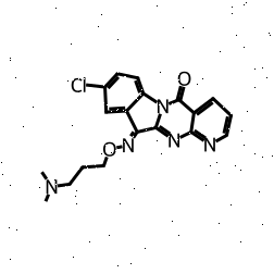 CN(C)CCCO/N=C1\c2cc(Cl)ccc2-n2c1nc1ncccc1c2=O